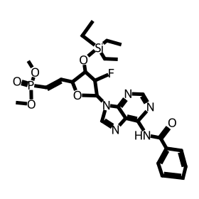 CC[Si](CC)(CC)OC1C(C=CP(=O)(OC)OC)OC(n2cnc3c(NC(=O)c4ccccc4)ncnc32)C1F